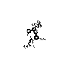 CCOP(=O)(O)OC(C)n1cc(-c2ccnc(F)c2)c2cc(-c3cc(NC(=O)/C=C/CN(C)C)cc(OC)c3)cnc21